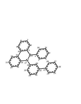 c1ccc(B2c3ccccc3-c3ccccc3N2c2cccc(-c3ccccc3)c2)cc1